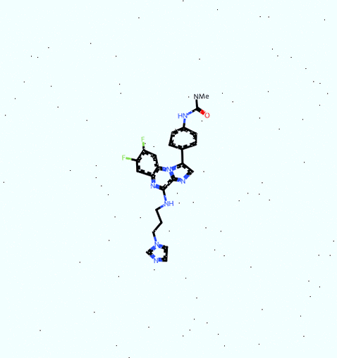 CNC(=O)Nc1ccc(-c2cnc3c(NCCCn4ccnc4)nc4cc(F)c(F)cc4n23)cc1